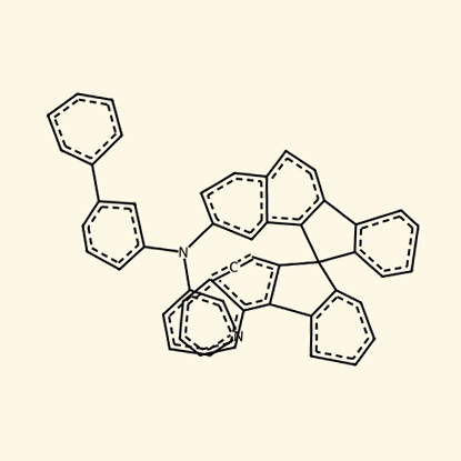 c1ccc(-c2cccc(N(c3cccnc3)c3ccc4ccc5c(c4c3)C3(c4ccccc4-5)c4ccccc4-c4c3ccc3ccccc43)c2)cc1